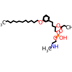 CCCCCCCCCCCCOc1cccc(CCC(COP(O)OCCNC)OC(=O)CC)c1